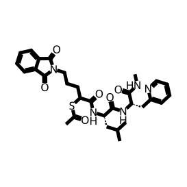 CNC(=O)[C@H](Cc1ccccn1)NC(=O)[C@H](CC(C)C)NC(=O)C(CCCN1C(=O)c2ccccc2C1=O)SC(C)=O